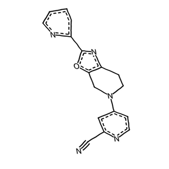 N#Cc1cc(N2CCc3nc(-c4ccccn4)oc3C2)ccn1